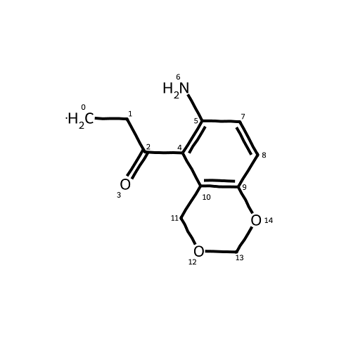 [CH2]CC(=O)c1c(N)ccc2c1COCO2